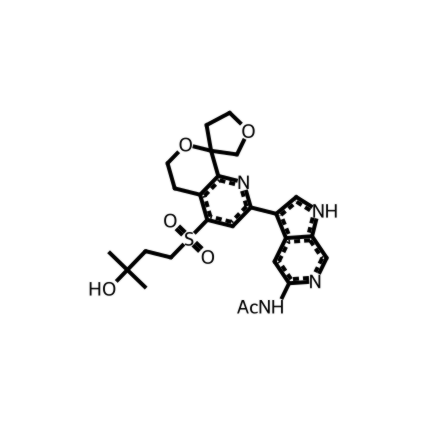 CC(=O)Nc1cc2c(-c3cc(S(=O)(=O)CCC(C)(C)O)c4c(n3)C3(CCOC3)OCC4)c[nH]c2cn1